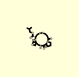 CC(C)COC(=O)[C@@H]1CSSCCC(=O)N2CCC[C@H]2C(=O)NCC2(COC2)N1